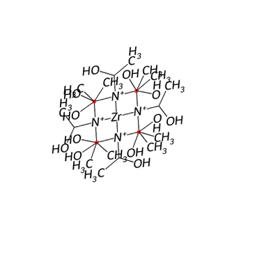 CC(O)[N+](C(C)O)(C(C)O)[Zr]([N+](C(C)O)(C(C)O)C(C)O)([N+](C(C)O)(C(C)O)C(C)O)[N+](C(C)O)(C(C)O)C(C)O